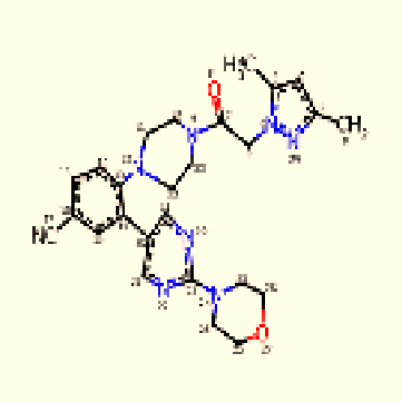 Cc1cc(C)n(CC(=O)N2CCN(c3ccc(C#N)cc3-c3cnc(N4CCOCC4)nc3)CC2)n1